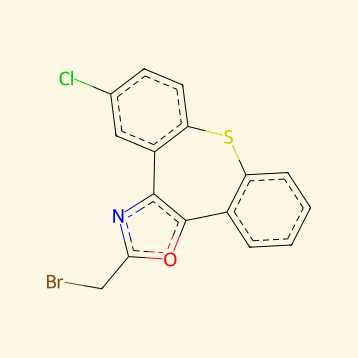 Clc1ccc2c(c1)-c1nc(CBr)oc1-c1ccccc1S2